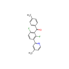 Cc1ccc(C(=O)c2c(F)ccc(-c3cc(C)ccn3)c2F)cc1